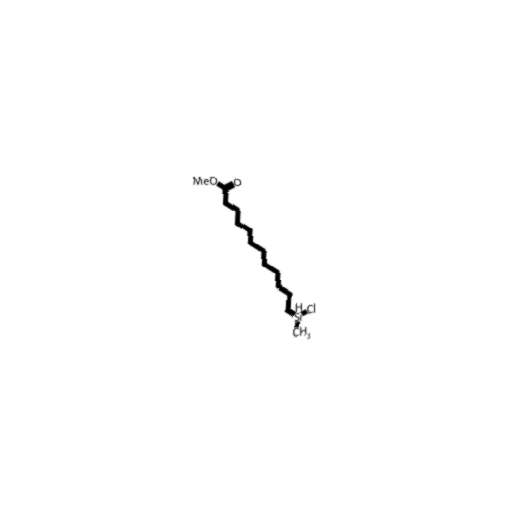 COC(=O)CCCCCCCCCCC[SiH](C)Cl